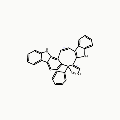 CC1(c2ccccc2)/C(=C\O)c2[nH]c3ccccc3c2/C=C\c2c1ccc1c2[nH]c2ccccc21